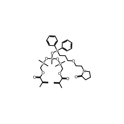 C=C(C)C(=O)OC[Si](C)(C)O[Si](C)(O[Si](C)(C)COC(=O)C(=C)C)O[Si](CCCOCCN1CCCC1=O)(c1ccccc1)c1ccccc1